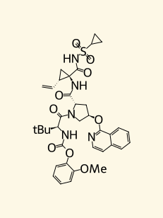 C=C[C@@H]1C[C@]1(NC(=O)[C@@H]1C[C@@H](Oc2nccc3ccccc23)CN1C(=O)[C@@H](NC(=O)Oc1ccccc1OC)C(C)(C)C)C(=O)NS(=O)(=O)C1CC1